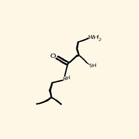 CC(C)CNC(=O)C(S)CN